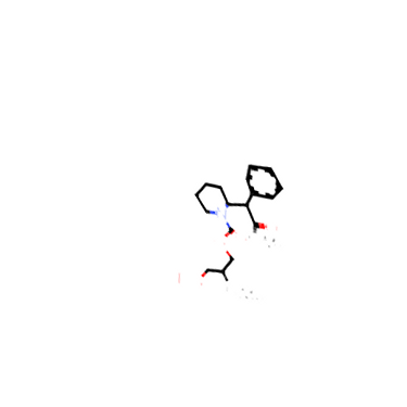 COC(=O)C(c1ccccc1)C1CCCCN1C(=O)OCC(CO)OC